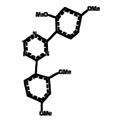 COc1ccc(-c2n[c]nc(-c3ccc(OC)cc3OC)n2)c(OC)c1